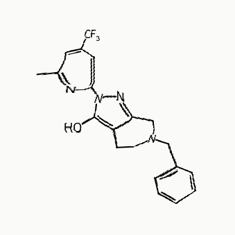 Cc1cc(C(F)(F)F)cc(-n2nc3c(c2O)CCN(Cc2ccccc2)C3)n1